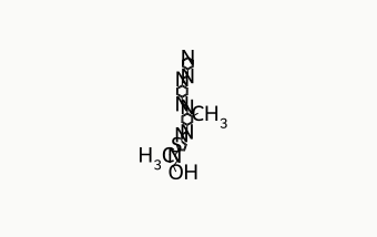 Cc1cc(N=Nc2ccc(N(C)CCO)s2)ccc1N=Nc1ccc(N=Nc2ccncc2)cc1